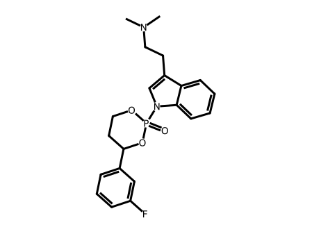 CN(C)CCc1cn(P2(=O)OCCC(c3cccc(F)c3)O2)c2ccccc12